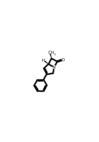 C[C@H]1C(=O)N2CC(c3ccccc3)=C[C@H]12